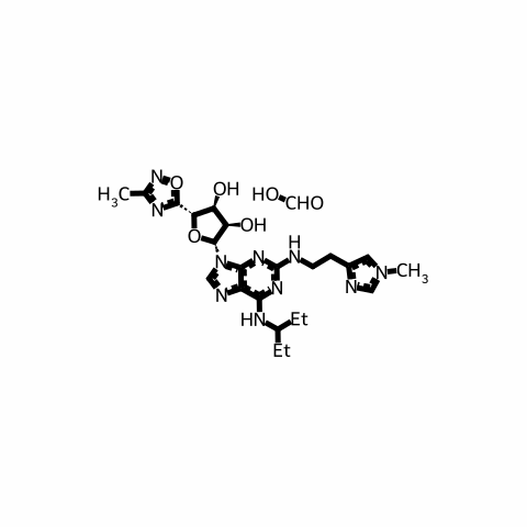 CCC(CC)Nc1nc(NCCc2cn(C)cn2)nc2c1ncn2[C@@H]1O[C@H](c2nc(C)no2)[C@@H](O)[C@H]1O.O=CO